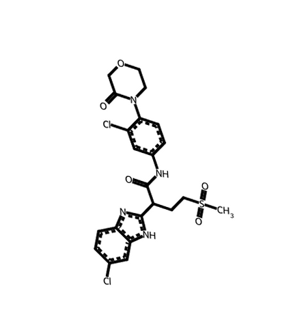 CS(=O)(=O)CCC(C(=O)Nc1ccc(N2CCOCC2=O)c(Cl)c1)c1nc2ccc(Cl)cc2[nH]1